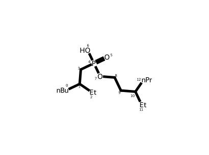 CCCCC(CC)CP(=O)(O)OCCC(CC)CCC